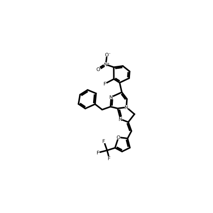 O=[N+]([O-])c1cccc(C2=CN3C/C(=C/c4ccc(C(F)(F)F)o4)N=C3C(Cc3ccccc3)=N2)c1F